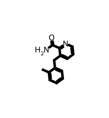 Cc1ccccc1Cc1cccnc1C(N)=O